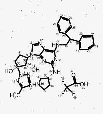 Cc1nnn([C@@]2(O)CC[C@@H](n3cnc4c(NCC(c5ccccc5)c5ccccc5)nc(N[C@@H]5CCNC5)nc43)[C@@H]2O)n1.O=C(O)C(F)(F)F